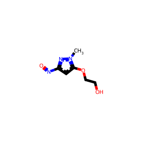 Cn1nc(N=O)cc1OCCO